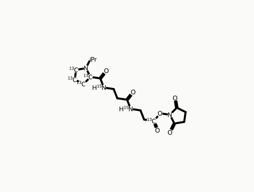 [13CH3]C([13CH3])N1[13CH2][13CH2][13CH2][13CH]1C(=O)[15NH]CCC(=O)[15NH]CC[13C](=O)ON1C(=O)CCC1=O